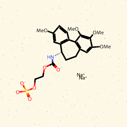 COc1ccc2c(c1)[C@@H](NC(=O)OCCOP(=O)([O-])[O-])CCc1cc(OC)c(OC)c(OC)c1-2.[Na+].[Na+]